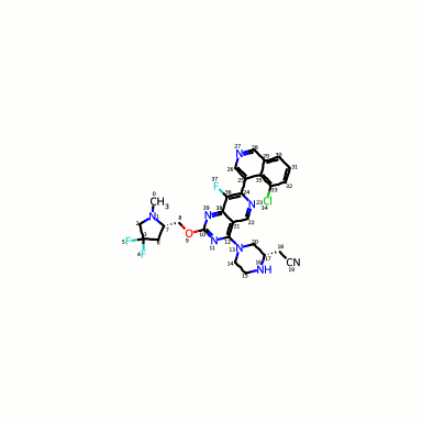 CN1CC(F)(F)C[C@H]1COc1nc(N2CCN[C@@H](CC#N)C2)c2cnc(-c3cncc4cccc(Cl)c34)c(F)c2n1